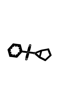 O=S(=O)(c1ccccc1)N1C2CCCC21